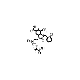 CCN(CC)CCn1c(=O)n(Cc2ccccc2Cl)c2c(C(F)(F)F)cc(C(N)=O)cc21.O=C(O)C(F)(F)F